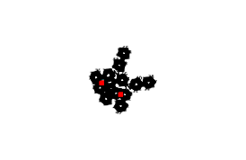 CC1C2=C3C(C4=C1C1(c5ccccc54)c4ccccc4-c4ccccc41)c1cc(N(c4ccc(-c5ccccc5)cc4)c4ccc(-c5ccccc5)cc4)ccc1N(c1ccc(-c4ccccc4)cc1)C3C=CC2c1ccccc1